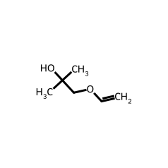 C=COCC(C)(C)O